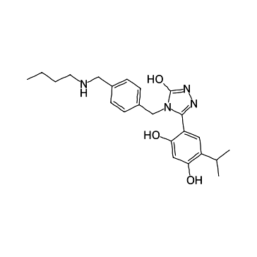 CCCCNCc1ccc(Cn2c(O)nnc2-c2cc(C(C)C)c(O)cc2O)cc1